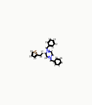 c1ccc(CN2CCN(Cc3ccccc3)[C@@H](CCc3cccs3)C2)cc1